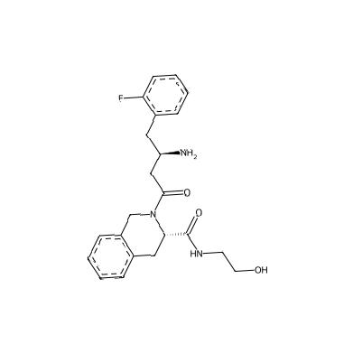 N[C@@H](CC(=O)N1Cc2ccccc2C[C@H]1C(=O)NCCO)Cc1ccccc1F